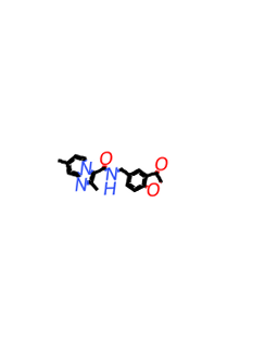 Cc1ccn2c(C(=O)NCc3ccc4c(c3)C(=O)CO4)c(C)nc2c1